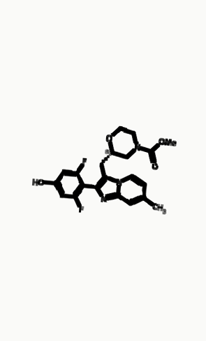 COC(=O)N1CCO[C@@H](Cc2c(-c3c(F)cc(O)cc3F)nc3cc(C)ccn23)C1